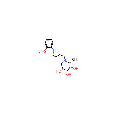 C[C@@H]1[C@@H](O)[C@H](O)[C@@H](O)CN1CC1CCN(c2ccccc2OC(F)(F)F)C1